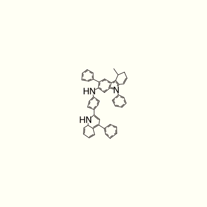 CC1CC=Cc2c1c1cc(-c3ccccc3)c(Nc3ccc(C4=CC(c5ccccc5)=C5C=CC=CC5N4)cc3)cc1n2-c1ccccc1